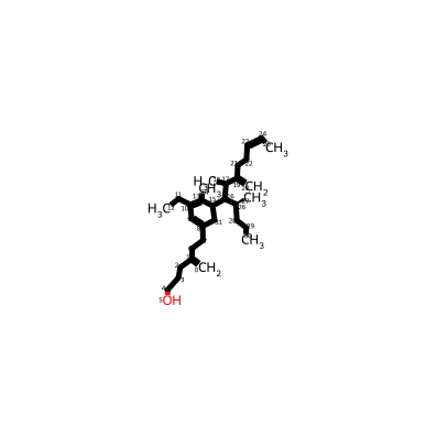 C=C(CCCO)CCC1=CC(CC)=C(C)C(C(C(C)C(=C)CC/C=C\C)[C@@H](C)CCC)C1